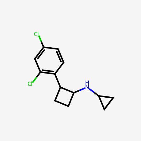 Clc1ccc(C2CCC2NC2CC2)c(Cl)c1